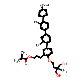 C=C(C)C(=O)OCCCc1cc(-c2ccc(-c3ccc(-c4ccc(CCCCC)cc4)c(CC)c3)cc2CC)ccc1OCCC(C)(CO)CO